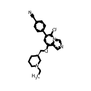 CCN1CCC[C@@H](COc2cc(-c3ccc(C#N)cc3)c(Cl)n3cncc23)C1